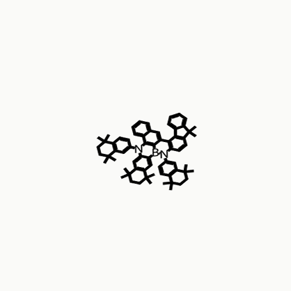 CC1(C)CCC(C)(C)c2cc(N3B4c5cc6c(cc5N(c5ccc7c(c5)C(C)(C)CCC7(C)C)c5c4c(cc4ccccc54)-c4c3ccc3c4-c4ccccc4C3(C)C)C(C)(C)CCC6(C)C)ccc21